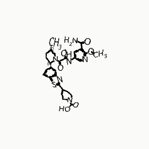 COc1ncc(NC(=O)C(=O)N2C[C@@H](C)CC[C@@H]2c2ccc3sc(C4CCN(C(=O)O)CC4)nc3c2)cc1C(N)=O